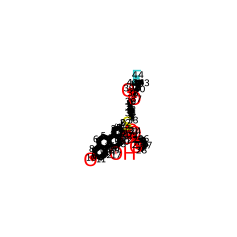 C[C@@H]1CC2C3CCC4=CC(=O)C=C[C@]4(C)C3[C@@H](O)C[C@]2(C)[C@@]1(OC(=O)c1ccco1)C(=O)SCC#CCOC(=O)CC(C)(C)F